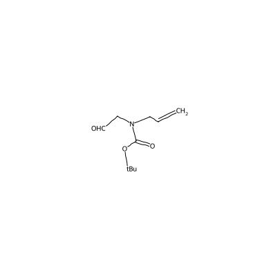 C=CCN(CC=O)C(=O)OC(C)(C)C